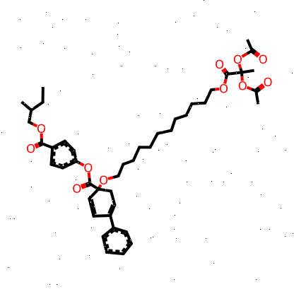 CCC(C)COC(=O)c1ccc(OC(=O)C2(OCCCCCCCCCCCCOC(=O)C(C)(OC(C)=O)OC(C)=O)C=CC(c3ccccc3)=CC2)cc1